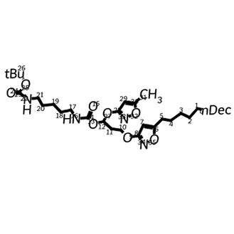 CCCCCCCCCCCCCCCc1cc(OCCC(OC(=O)NCCCCCNC(=O)OC(C)(C)C)Oc2cc(C)on2)no1